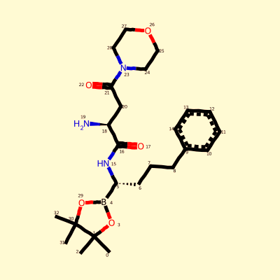 CC1(C)OB([C@@H](CCCc2ccccc2)NC(=O)[C@@H](N)CC(=O)N2CCOCC2)OC1(C)C